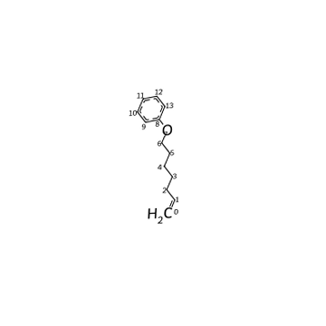 C=CCCCCCOc1ccccc1